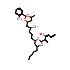 C=C/C=C(/O)C(=C)C1OC(CCCCC)CC(CCCC(O)CC2CC(C)OC(c3ccccc3O)O2)O1